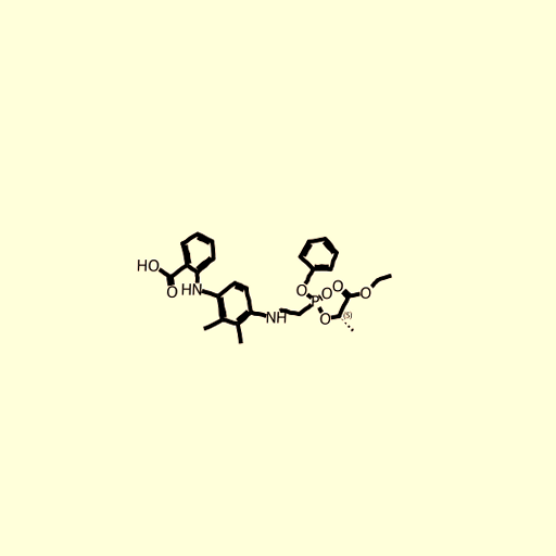 CCOC(=O)[C@H](C)OP(=O)(CCNc1ccc(Nc2ccccc2C(=O)O)c(C)c1C)Oc1ccccc1